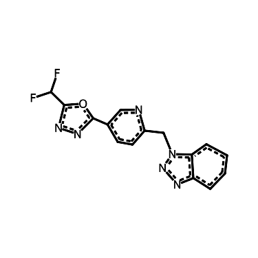 FC(F)c1nnc(-c2ccc(Cn3nnc4ccccc43)nc2)o1